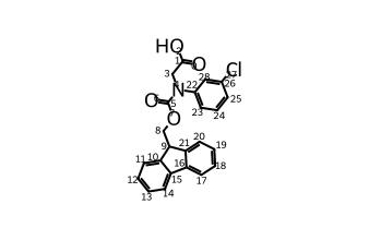 O=C(O)CN(C(=O)OCC1c2ccccc2-c2ccccc21)c1cccc(Cl)c1